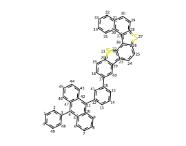 c1ccc(-c2c3ccccc3c(-c3cccc(-c4ccc5sc6c(ccc7sc8ccc9ccccc9c8c76)c5c4)c3)c3ccccc23)cc1